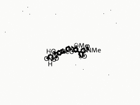 CNC(=O)N1CCc2c(-c3cc(OC)c(CN4CCC(N5Cc6cc7c(cc6C5)C(O)N(C5CCC(=O)NC5=O)C7=O)CC4)c(OC)c3)cn(C)c(=O)c2C1